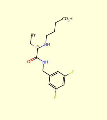 CC(C)C[C@H](NCCCC(=O)O)C(=O)NCc1cc(F)cc(F)c1